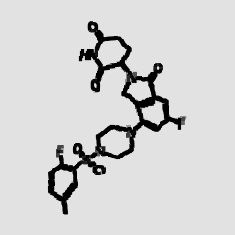 Cc1ccc(F)c(S(=O)(=O)N2CCN(c3cc(F)cc4c3CN(C3CCC(=O)NC3=O)C4=O)CC2)c1